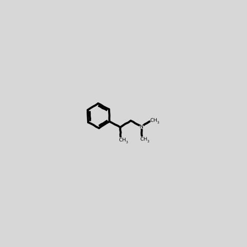 CC(CN(C)C)c1ccccc1